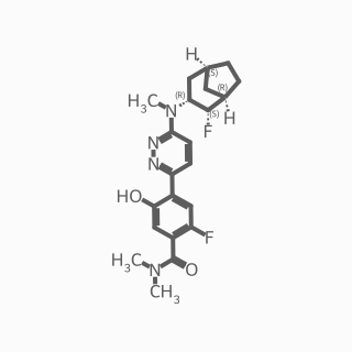 CN(C)C(=O)c1cc(O)c(-c2ccc(N(C)[C@@H]3C[C@H]4CC[C@H](C4)[C@@H]3F)nn2)cc1F